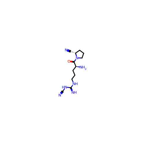 N#CNC(=N)NCCC[C@H](N)C(=O)N1CCC[C@H]1C#N